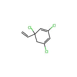 C=CC1(Cl)C=C(Cl)C=C(Cl)C1